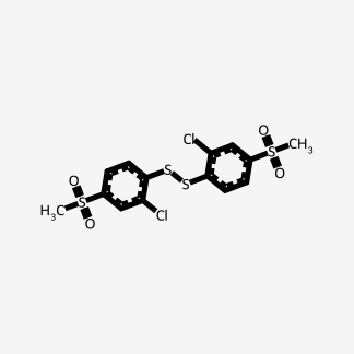 CS(=O)(=O)c1ccc(SSc2ccc(S(C)(=O)=O)cc2Cl)c(Cl)c1